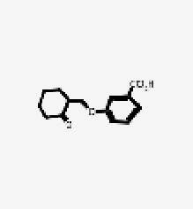 O=C(O)c1cccc(OCC2CCCCC2=O)c1